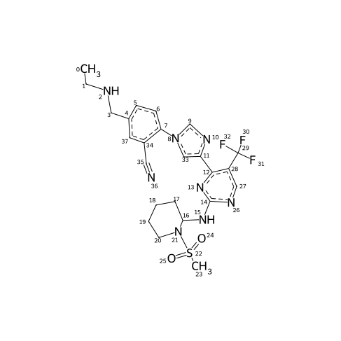 CCNCc1ccc(-n2cnc(-c3nc(NC4CCCCN4S(C)(=O)=O)ncc3C(F)(F)F)c2)c(C#N)c1